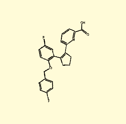 O=C(O)c1cccc(C2=C(c3cc(F)ccc3OCc3ccc(F)cc3)CCC2)n1